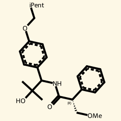 CCCC(C)COc1ccc(C(NC(=O)[C@@H](COC)c2ccccc2)C(C)(C)O)cc1